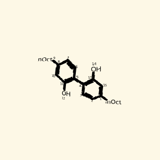 CCCCCCCCc1ccc(-c2ccc(CCCCCCCC)cc2O)c(O)c1